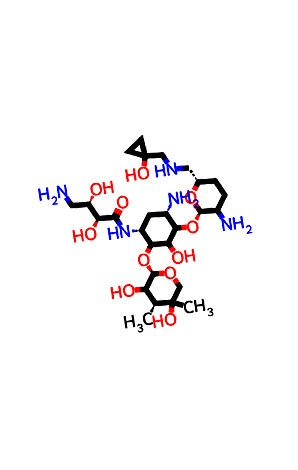 C[C@@H]1C(O)[C@@H](OC2C(O)C(O[C@H]3O[C@H](CNCC4(O)CC4)CCC3N)[C@@H](N)C[C@H]2NC(=O)[C@@H](O)[C@@H](O)CN)OCC1(C)O